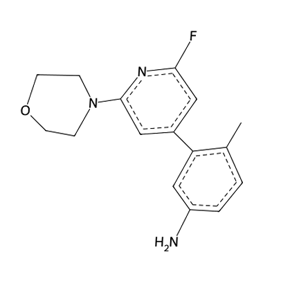 Cc1ccc(N)cc1-c1cc(F)nc(N2CCOCC2)c1